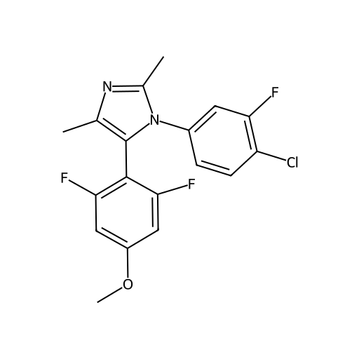 COc1cc(F)c(-c2c(C)nc(C)n2-c2ccc(Cl)c(F)c2)c(F)c1